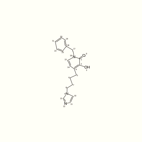 O=c1c(O)c(CCCCn2ccnc2)ccn1Cc1ccccc1